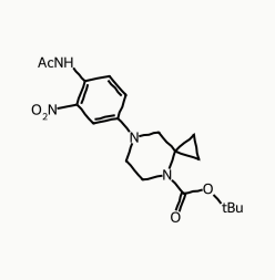 CC(=O)Nc1ccc(N2CCN(C(=O)OC(C)(C)C)C3(CC3)C2)cc1[N+](=O)[O-]